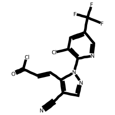 N#Cc1cnn(-c2ncc(C(F)(F)F)cc2Cl)c1C=CC(=O)Cl